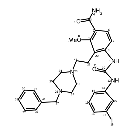 COc1c(C(N)=O)ccc(NC(=O)Nc2cccc(I)c2)c1CCN1CCN(Cc2ccccc2)CC1